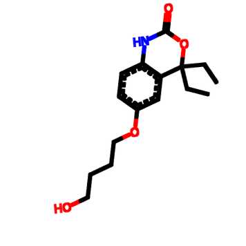 CCC1(CC)OC(=O)Nc2ccc(OCCCCO)cc21